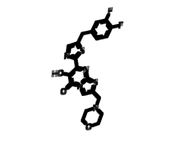 O=c1c(O)c(-c2ncc(Cc3ccc(F)c(F)c3)s2)nc2sc(CN3CCOCC3)cn12